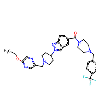 CCOc1cnc(CN2CCC(n3cc4cc(C(=O)N5CCN(Cc6ccc(C(F)(F)F)cc6)CC5)ccc4n3)CC2)cn1